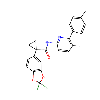 Cc1ccc(-c2nc(NC(=O)C3(c4ccc5c(c4)OC(F)(F)O5)CC3)ccc2C)cc1